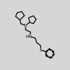 c1ccc(SCCCNCCN(CC2CCCC2)C2CCCC2)cc1